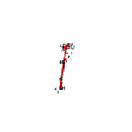 CCC(C)(C)C(/C=C/C(C)=C/C=C/C(C)=C/C(=O)NCCOCCOCCOCCOCCOSCCNC)=C(C)C